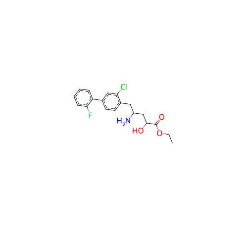 CCOC(=O)C(O)CC(N)Cc1ccc(-c2ccccc2F)cc1Cl